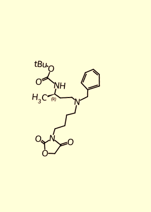 C[C@H](CCN(CCCCN1C(=O)COC1=O)Cc1ccccc1)NC(=O)OC(C)(C)C